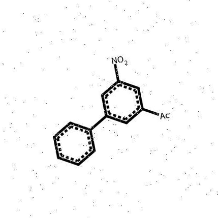 CC(=O)c1cc(-c2ccccc2)cc([N+](=O)[O-])c1